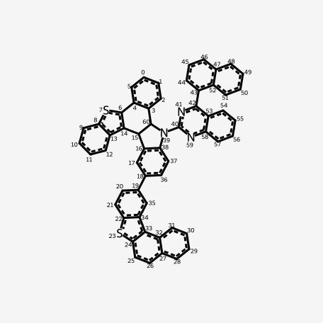 c1ccc2c(c1)-c1sc3ccccc3c1C1c3cc(-c4ccc5sc6ccc7ccccc7c6c5c4)ccc3N(c3nc(-c4cccc5ccccc45)c4ccccc4n3)C21